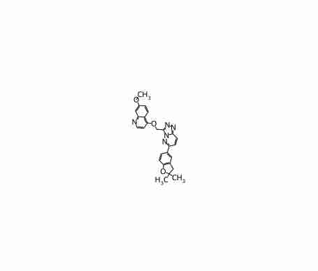 COc1ccc2c(OCc3nnc4ccc(-c5ccc6c(c5)CC(C)(C)O6)nn34)ccnc2c1